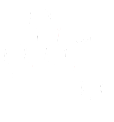 Cc1ccccc1Oc1cc(OCc2ccccc2)c(C(=O)O)c(Oc2ccccc2C)c1